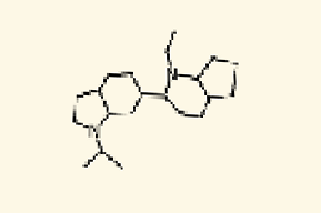 CCN1C2CCCC2CCC1C1CCC2CCN(C(C)C)C2C1